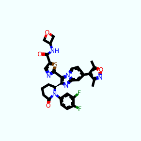 Cc1noc(C)c1-c1ccn2c(-c3ncc(C(=O)NC4COC4)s3)c([C@@H]3CCCC(=O)N3c3ccc(F)c(F)c3)nc2c1